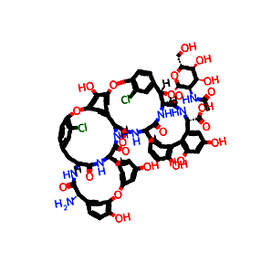 CC(=O)N[C@H]1[C@H](O[C@@H]2c3ccc(c(Cl)c3)Oc3cc4cc(c3O)Oc3ccc(cc3Cl)C[C@H]3NC(=O)[C@@H](N)c5ccc(O)c(c5)Oc5cc(O)cc(c5)[C@H](NC3=O)C(=O)N[C@H]4C(=O)N[C@H]3C(=O)N[C@@H]2C(=O)N[C@H](C(=O)O)c2cc(O)cc(O)c2-c2cc3ccc2O)O[C@H](CO)[C@@H](O)[C@@H]1O